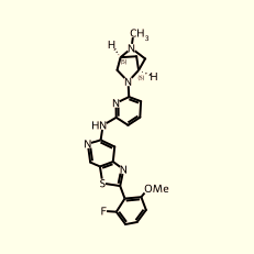 COc1cccc(F)c1-c1nc2cc(Nc3cccc(N4C[C@@H]5C[C@H]4CN5C)n3)ncc2s1